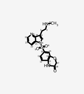 CNCCc1cn(S(=O)(=O)c2ccc3c(c2)OCC(=O)N3)c2cccnc12